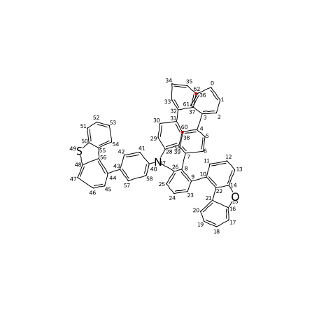 c1ccc(-c2ccc(-c3c(-c4cccc5oc6ccccc6c45)cccc3N(c3ccc(-c4ccccc4)cc3)c3ccc(-c4cccc5sc6ccccc6c45)cc3)cc2)cc1